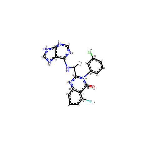 CCC(Nc1ncnc2[nH]cnc12)c1nc2cccc(F)c2c(=O)n1-c1cccc(Cl)c1